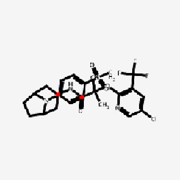 CC(C)(Oc1ncc(Cl)cc1C(F)(F)F)C(=O)NC1CC2CCC(C1)N2c1ccc(S(C)(=O)=O)cc1